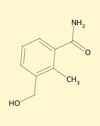 Cc1c(CO)cccc1C(N)=O